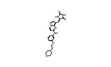 O=C1NC(=O)/C(=C/c2cnn3ccc(Nc4cccc(OCCN5CCOCC5)c4)nc23)N1